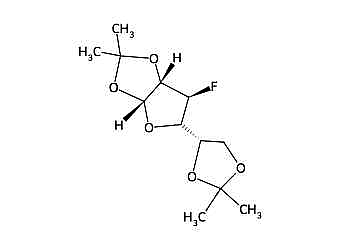 CC1(C)O[C@H]2OC([C@@H]3COC(C)(C)O3)[C@H](F)[C@H]2O1